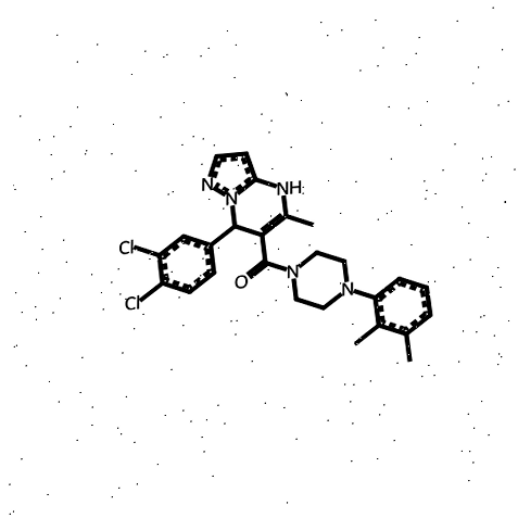 CC1=C(C(=O)N2CCN(c3cccc(C)c3C)CC2)C(c2ccc(Cl)c(Cl)c2)n2nccc2N1